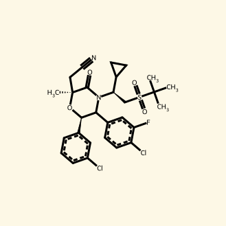 CC(C)(C)S(=O)(=O)C[C@H](C1CC1)N1C(=O)[C@](C)(CC#N)O[C@H](c2cccc(Cl)c2)C1c1ccc(Cl)c(F)c1